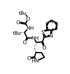 CC(C)(C)OC(=O)N[C@H](C(=O)N[C@@H](C[C@@H]1CCNC1=O)C(=O)c1nc2ccccc2s1)C(C)(C)C